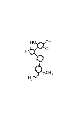 COc1ccc(-c2cccc(-c3c[nH]nc3-c3cc(Cl)c(O)cc3O)c2)cc1OC